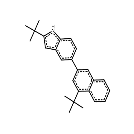 CC(C)(C)c1cc2cc(-c3cc(C(C)(C)C)c4ccccc4c3)ccc2[nH]1